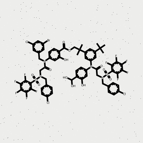 CC(C)(C)c1cc(N(C(=O)CN(Cc2ccc(Cl)cc2)S(=O)(=O)c2c(F)c(F)c(F)c(F)c2F)c2ccc(C(O)O)c(O)c2)cc(C(C)(C)COC(=O)c2ccc(N(Cc3cc(Cl)cc(Br)c3)C(=O)CN(Cc3ccc(Cl)cc3)S(=O)(=O)c3c(F)c(F)c(F)c(F)c3F)cc2O)c1